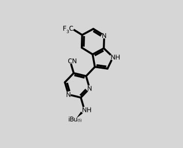 CC[C@H](C)Nc1ncc(C#N)c(-c2c[nH]c3ncc(C(F)(F)F)cc23)n1